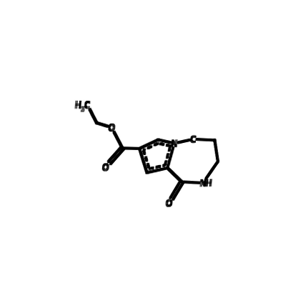 CCOC(=O)c1cc2n(c1)CCCNC2=O